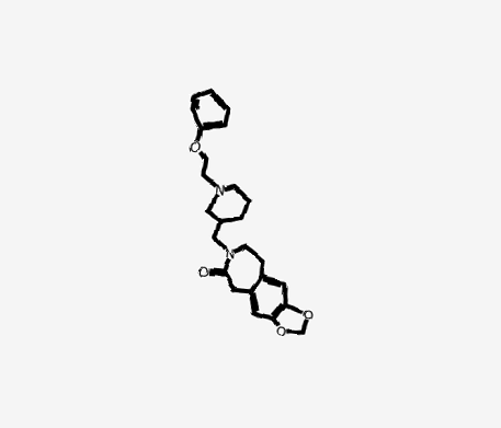 O=C1Cc2cc3c(cc2CCN1CC1CCCN(CCOc2ccccc2)C1)OCO3